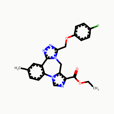 CCOC(=O)c1ncn2c1Cn1c(COc3ccc(F)cc3)nnc1-c1cc(C)ccc1-2